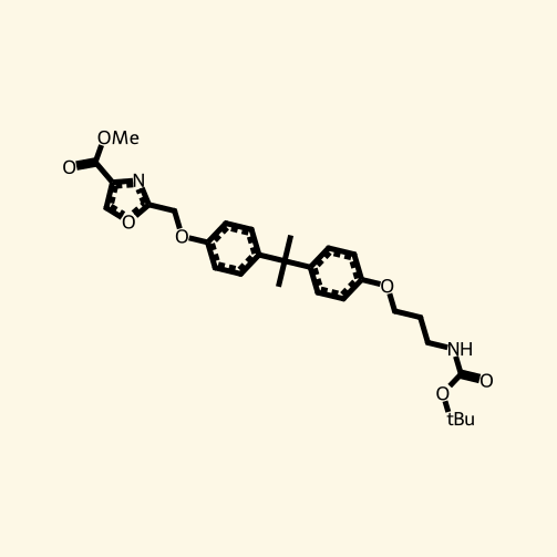 COC(=O)c1coc(COc2ccc(C(C)(C)c3ccc(OCCCNC(=O)OC(C)(C)C)cc3)cc2)n1